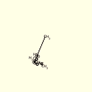 CCCCCCCCCCCCCCCCCCNC(=O)Oc1cccc(OP(=O)(O)Oc2cccc(C[n+]3csc(C)c3)c2)c1C